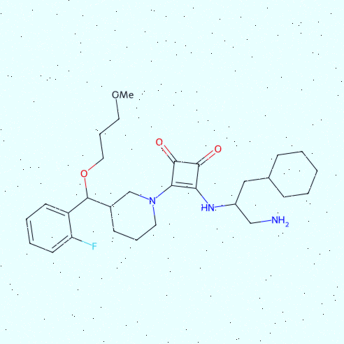 COCCCOC(c1ccccc1F)C1CCCN(c2c(NC(CN)CC3CCCCC3)c(=O)c2=O)C1